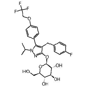 CC(C)n1nc(O[C@@H]2O[C@H](CO)[C@@H](O)[C@H](O)[C@H]2O)c(Cc2ccc(F)cc2)c1-c1ccc(OCC(F)(F)F)cc1